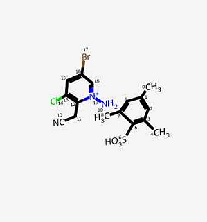 Cc1cc(C)c(S(=O)(=O)O)c(C)c1.N#CCc1c(Cl)cc(Br)c[n+]1N